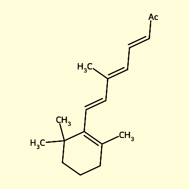 CC(=O)/C=C/C=C(C)/C=C/C1=C(C)CCCC1(C)C